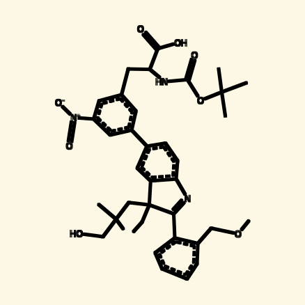 CCC1(CC(C)(C)CO)C(c2ccccc2COC)=Nc2ccc(-c3cc(CC(NC(=O)OC(C)(C)C)C(=O)O)cc([N+](=O)[O-])c3)cc21